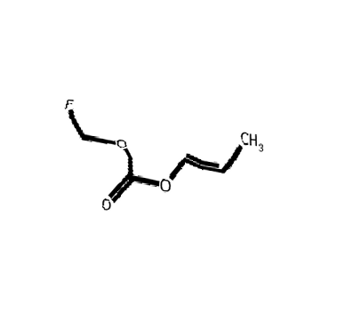 CC=COC(=O)OCF